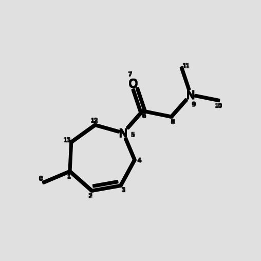 CC1C=CCN(C(=O)CN(C)C)CC1